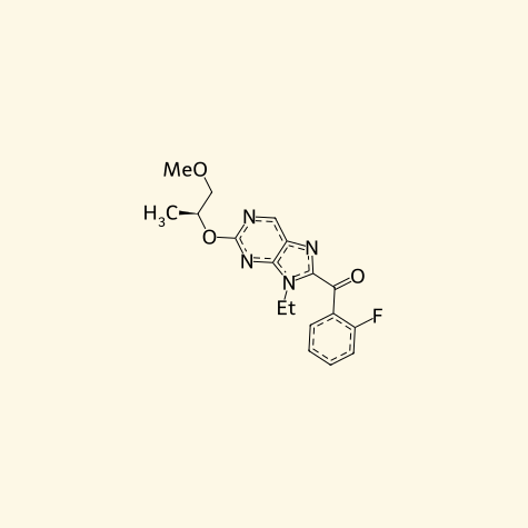 CCn1c(C(=O)c2ccccc2F)nc2cnc(O[C@@H](C)COC)nc21